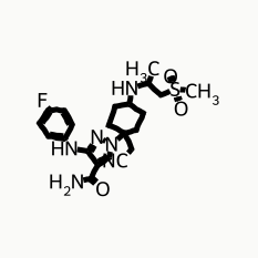 CC(CS(C)(=O)=O)NC1CCC(CC#N)(n2cc(C(N)=O)c(Nc3ccc(F)cc3)n2)CC1